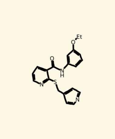 CCOc1cccc(NC(=O)c2cccnc2SCc2ccncc2)c1